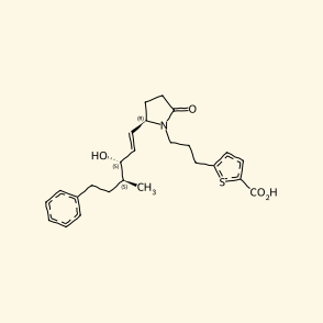 C[C@@H](CCc1ccccc1)[C@H](O)C=C[C@H]1CCC(=O)N1CCCc1ccc(C(=O)O)s1